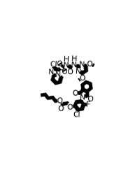 CCCCCOC(=O)COc1cc(N2C(=O)C3=C(CCCC3)C2=O)c(F)cc1Cl.COc1cc(OC)nc(NC(=O)NS(=O)(=O)c2c(Cl)nc3ccccn23)n1